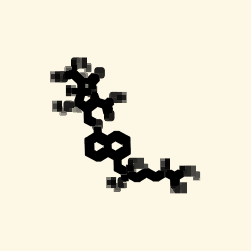 C[C@@H](O)[C@H]1C(=O)N2C(C(=O)O)=C(COc3cccc4c(C[N+](C)(C)CCCNC(=N)N)cccc34)[C@H](C)[C@H]12